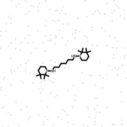 CC1(C)CCCN(NCCCCCCNN2CCCC(C)(C)C2(C)C)C1(C)C